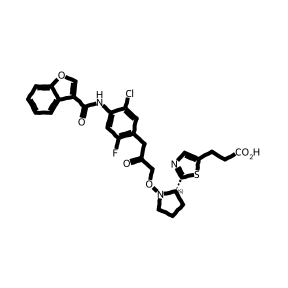 O=C(O)CCc1cnc([C@@H]2CCCN2OCC(=O)Cc2cc(Cl)c(NC(=O)c3coc4ccccc34)cc2F)s1